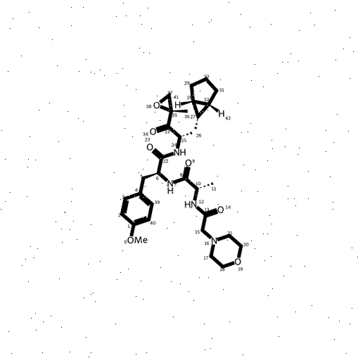 COc1ccc(C[C@H](NC(=O)[C@H](C)NC(=O)CN2CCOCC2)C(=O)N[C@@H](C[C@@H]2[C@@H]3CCC[C@@H]32)C(=O)[C@@]2(C)CO2)cc1